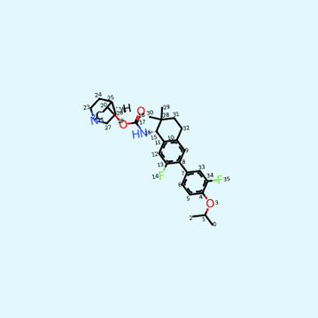 CC(C)Oc1ccc(-c2cc3c(cc2F)[C@H](NC(=O)O[C@H]2CN4CCC2CC4)C(C)(C)CC3)cc1F